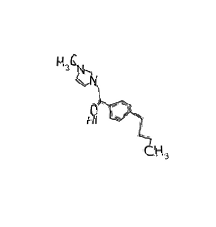 CCCCc1ccc(C(=O)CN2C=CN(C)C2)cc1.I